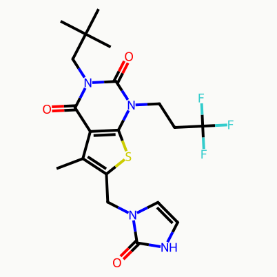 Cc1c(Cn2cc[nH]c2=O)sc2c1c(=O)n(CC(C)(C)C)c(=O)n2CCC(F)(F)F